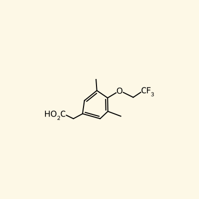 Cc1cc(CC(=O)O)cc(C)c1OCC(F)(F)F